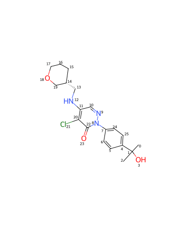 CC(C)(O)c1ccc(-n2ncc(NC[C@H]3CCCOC3)c(Cl)c2=O)cc1